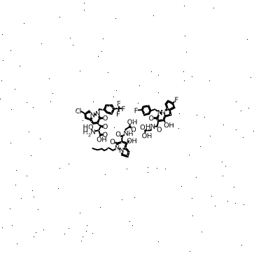 CCCCCCn1c(=O)c(C(=O)NCC(=O)O)c(O)c2cccn21.NC(C(=O)O)C(=O)c1c(O)c2cc(Cl)cn2n(Cc2ccc(C(F)(F)F)cc2)c1=O.O=C(O)CNC(=O)c1c(O)c2cc3cc(F)ccc3n2n(Cc2ccc(F)cc2)c1=O